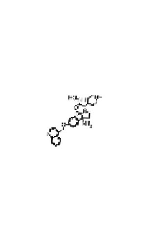 N[C@@]1(c2ccc(OCc3ccnc4ccccc34)cc2)CCN(C(C(=O)NO)C2CCNCC2)C1=O